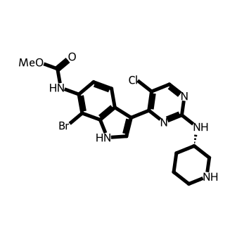 COC(=O)Nc1ccc2c(-c3nc(N[C@H]4CCCNC4)ncc3Cl)c[nH]c2c1Br